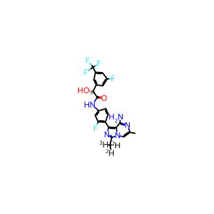 [2H]C([2H])([2H])c1nc(-c2ccc(NC(=O)[C@H](O)c3cc(F)cc(C(F)(F)F)c3)cc2F)c2c(N)nc(C)cn12